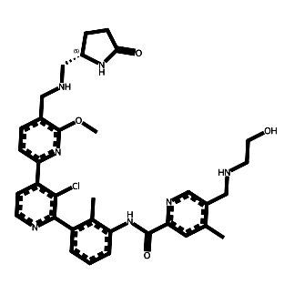 COc1nc(-c2ccnc(-c3cccc(NC(=O)c4cc(C)c(CNCCO)cn4)c3C)c2Cl)ccc1CNC[C@@H]1CCC(=O)N1